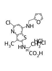 Cc1c(N[C@H](C)C(=O)O)sc2c(NCc3ccco3)cc(Cl)nc12.Cl.Cl